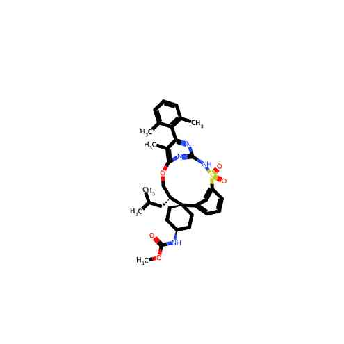 COC(=O)N[C@H]1CC[C@]2(CC1)c1cccc(c1)S(=O)(=O)Nc1nc(c(C)c(-c3c(C)cccc3C)n1)OC[C@H]2CC(C)C